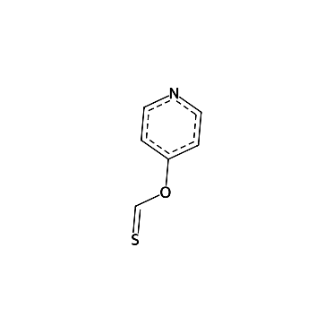 S=COc1ccncc1